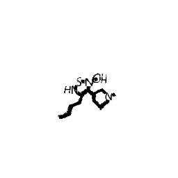 C=CCCC1=C(C2=CCCN(C)C2)N(O)SN1